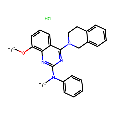 COc1cccc2c(N3CCc4ccccc4C3)nc(N(C)c3ccccc3)nc12.Cl